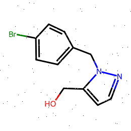 OCc1ccnn1Cc1ccc(Br)cc1